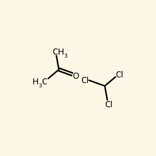 CC(C)=O.ClC(Cl)Cl